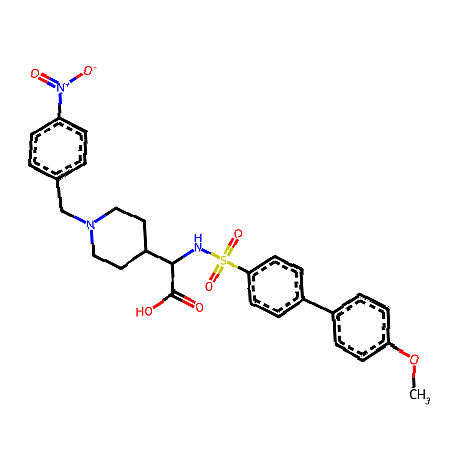 COc1ccc(-c2ccc(S(=O)(=O)NC(C(=O)O)C3CCN(Cc4ccc([N+](=O)[O-])cc4)CC3)cc2)cc1